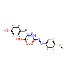 CSc1ccc(N=NC(=O)N[C@@H](Cc2ccc(O)cc2)C(=O)O)cc1